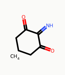 C.N=C1C(=O)CCCC1=O